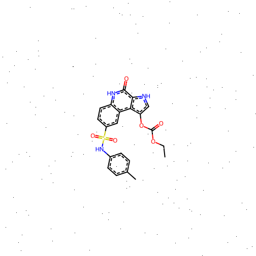 CCOC(=O)Oc1c[nH]c2c(=O)[nH]c3ccc(S(=O)(=O)Nc4ccc(C)cc4)cc3c12